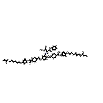 C=CC(=O)OCCCCCCOc1ccc(OC(=O)C2CCC(COc3ccc(OCC4CCC(C(=O)Oc5ccc(OCCCCCCOC(=O)C=C)cc5)CC4)c(/C=N/N(c4nc5ccccc5s4)C(C)CCCC)c3)CC2)cc1